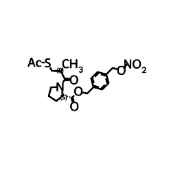 CC(=O)SC[C@@H](C)C(=O)N1CCC[C@H]1C(=O)OCc1ccc(CO[N+](=O)[O-])cc1